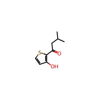 CC(C)CC(=O)c1sccc1O